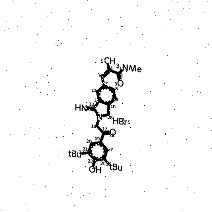 Br.CNC(=O)C(C)=Cc1ccc2c(c1)C(=N)N(CC(=O)c1cc(C(C)(C)C)c(O)c(C(C)(C)C)c1)C2